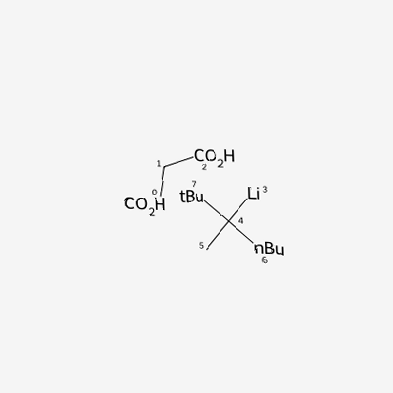 O=C(O)CC(=O)O.[Li][C](C)(CCCC)C(C)(C)C